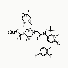 C[C@@H]1CO[C@@H](C)CN1C[C@H]1CN(C(=O)OC(C)(C)C)[C@H](C)CN1CC(=O)N1CC(C)(C)c2c1cc(Cc1ccc(F)cc1F)c(=O)n2C